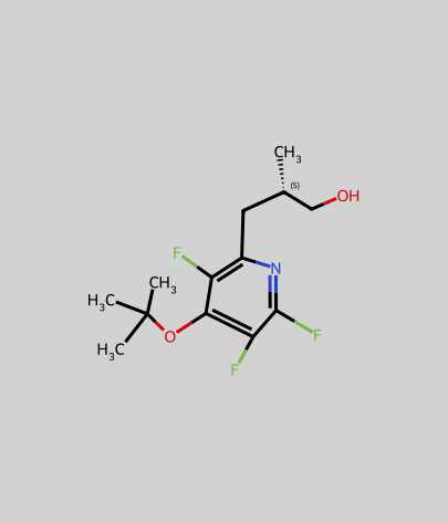 C[C@H](CO)Cc1nc(F)c(F)c(OC(C)(C)C)c1F